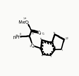 CCCC(Oc1ccc2c(c1)CCC2)C(=O)OC